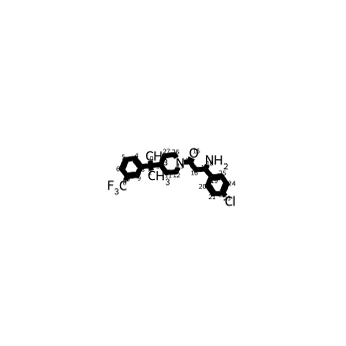 CC(C)(c1cccc(C(F)(F)F)c1)C1CCN(C(=O)CC(N)c2ccc(Cl)cc2)CC1